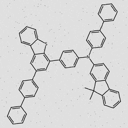 CC1(C)c2ccccc2-c2ccc(N(c3ccc(-c4ccccc4)cc3)c3ccc(-c4cc(-c5ccc(-c6ccccc6)cc5)cc5c4sc4ccccc45)cc3)cc21